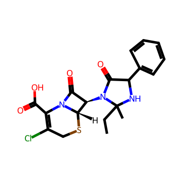 CCC1(C)NC(c2ccccc2)C(=O)N1[C@@H]1C(=O)N2C(C(=O)O)=C(Cl)CS[C@@H]12